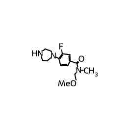 COCCN(C)C(=O)c1ccc(N2CCNCC2)c(F)c1